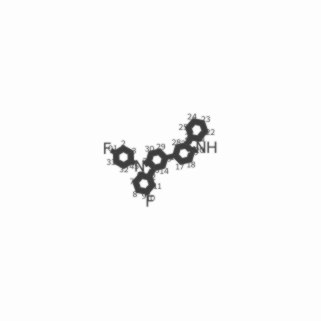 Fc1ccc(-n2c3ccc(F)cc3c3cc(-c4ccc5[nH]c6ccccc6c5c4)ccc32)cc1